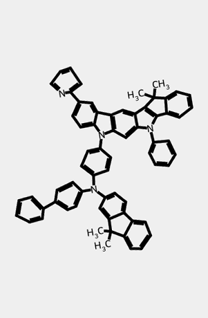 CC1(C)c2ccccc2-c2ccc(N(c3ccc(-c4ccccc4)cc3)c3ccc(-n4c5ccc(-c6ccccn6)cc5c5cc6c7c(n(-c8ccccc8)c6cc54)-c4ccccc4C7(C)C)cc3)cc21